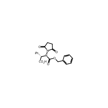 CC(C)[C@@H](C(=O)O)N(C(=O)OCc1ccccc1)N1C(=O)CCC1=O